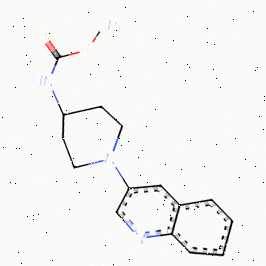 CC(C)(C)OC(=O)NC1CCN(c2cnc3ccccc3c2)CC1